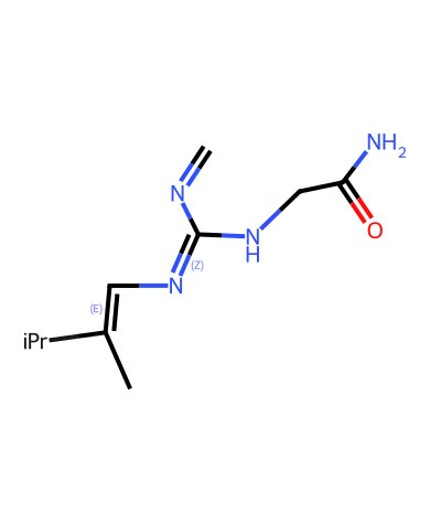 C=N/C(=N\C=C(/C)C(C)C)NCC(N)=O